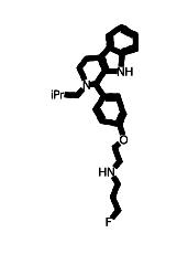 CC(C)CN1CCc2c([nH]c3ccccc23)C1c1ccc(OCCNCCCF)cc1